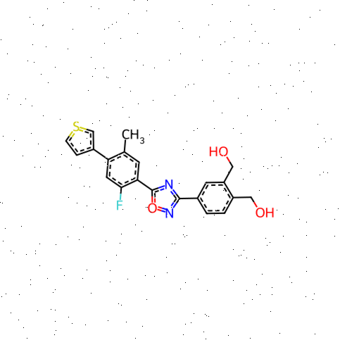 Cc1cc(-c2nc(-c3ccc(CO)c(CO)c3)no2)c(F)cc1-c1ccsc1